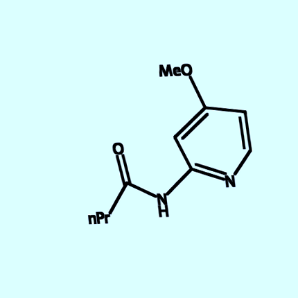 CCCC(=O)Nc1cc(OC)ccn1